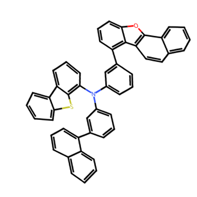 c1cc(-c2cccc3ccccc23)cc(N(c2cccc(-c3cccc4oc5c6ccccc6ccc5c34)c2)c2cccc3c2sc2ccccc23)c1